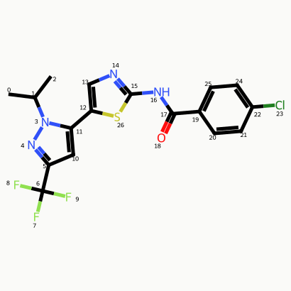 CC(C)n1nc(C(F)(F)F)cc1-c1cnc(NC(=O)c2ccc(Cl)cc2)s1